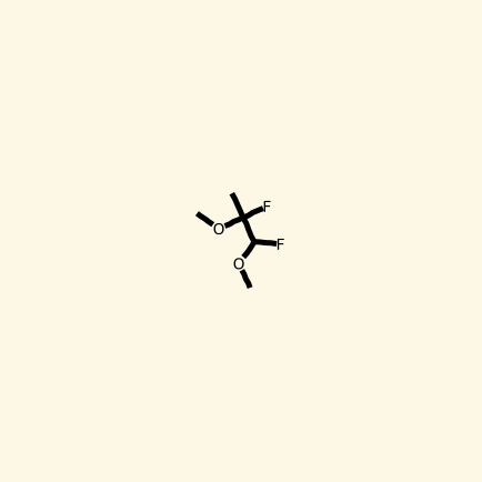 COC(F)C(C)(F)OC